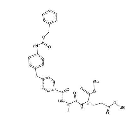 C[C@H](NC(=O)c1ccc(Cc2ccc(NC(=O)OCc3ccccc3)cc2)cc1)C(=O)N[C@@H](CCC(=O)OC(C)(C)C)C(=O)OC(C)(C)C